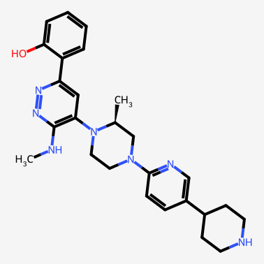 CNc1nnc(-c2ccccc2O)cc1N1CCN(c2ccc(C3CCNCC3)cn2)C[C@@H]1C